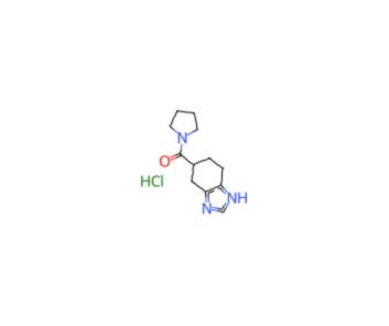 Cl.O=C(C1CCc2[nH]cnc2C1)N1CCCC1